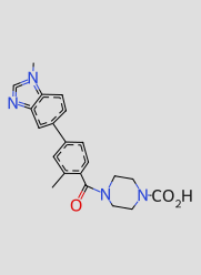 Cc1cc(-c2ccc3c(c2)ncn3C)ccc1C(=O)N1CCN(C(=O)O)CC1